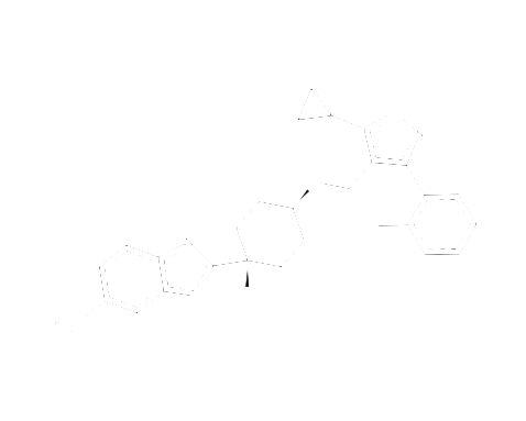 Cc1ccccc1-c1noc(C2CC2)c1CO[C@H]1CC[C@](O)(c2nc3ccc(C(=O)O)cc3s2)CC1